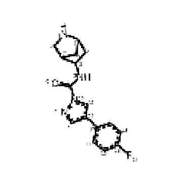 O=C(NC1CC2CC1CN2)n1cc(-c2ccc(F)cc2)cn1